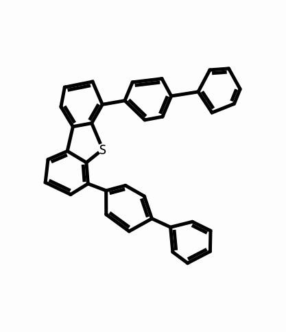 c1ccc(-c2ccc(-c3cccc4c3sc3c(-c5ccc(-c6ccccc6)cc5)cccc34)cc2)cc1